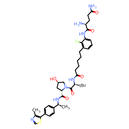 Cc1ncsc1-c1ccc([C@H](C)NC(=O)[C@@H]2C[C@@H](O)CN2C(=O)[C@@H](NC(=O)CCCCCc2cccc(NC(=O)[C@@H](N)CCC(N)=O)c2F)C(C)(C)C)cc1